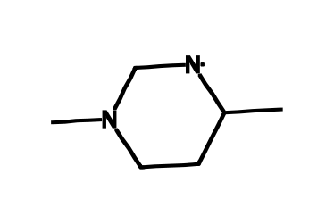 CC1CCN(C)C[N]1